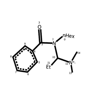 CCCCCCN(C(=O)c1ccccc1)C(CC)[N+](C)C